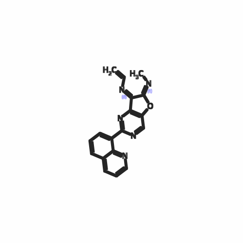 C=C/N=C1\C(=N/C)Oc2cnc(-c3cccc4cccnc34)nc21